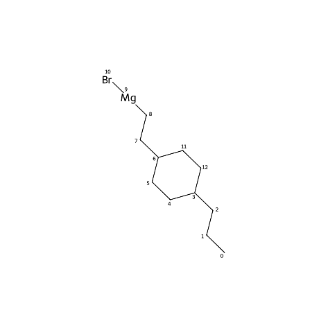 CCCC1CCC(C[CH2][Mg][Br])CC1